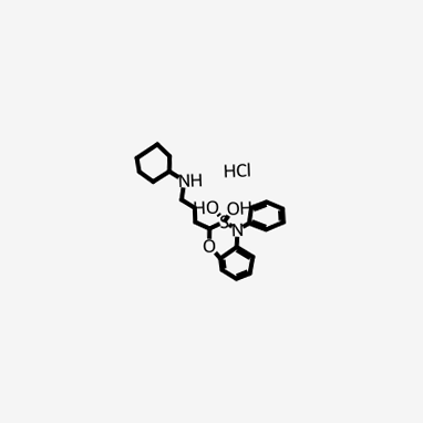 Cl.OS1(O)C(CCCNC2CCCCC2)Oc2ccccc2N1c1ccccc1